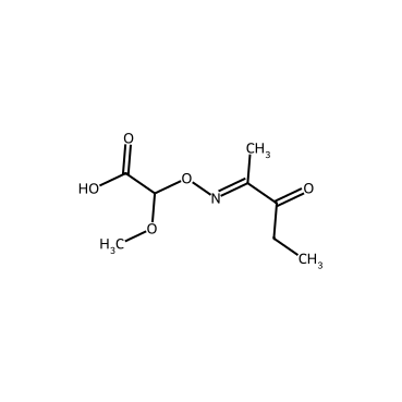 CCC(=O)C(C)=NOC(OC)C(=O)O